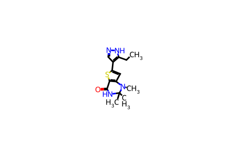 CCc1[nH]ncc1-c1cc2c(s1)C(=O)NC(C)(C)N2C